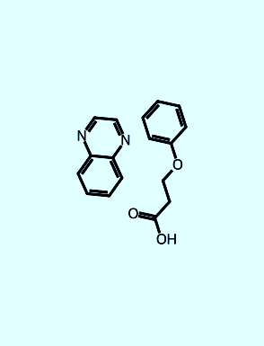 O=C(O)CCOc1ccccc1.c1ccc2nccnc2c1